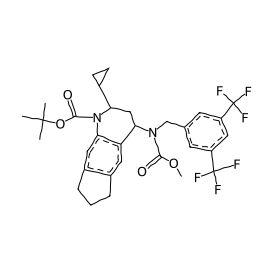 COC(=O)N(Cc1cc(C(F)(F)F)cc(C(F)(F)F)c1)C1CC(C2CC2)N(C(=O)OC(C)(C)C)c2cc3c(cc21)CCC3